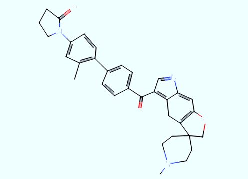 Cc1cc(N2CCCC2=O)ccc1-c1ccc(C(=O)C2=C3CC4=C(C=C3N=C2)OCC42CCN(C)CC2)cc1